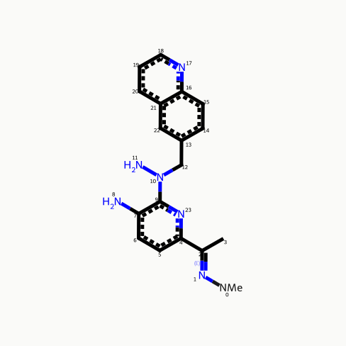 CN/N=C(\C)c1ccc(N)c(N(N)Cc2ccc3ncccc3c2)n1